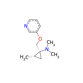 C[C@H]1C[C@]1(COc1cccnc1)N(C)C